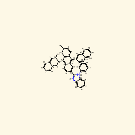 CC1C=Cc2c(c(C3C=c4ccccc4=CC3C)c3ccc(-c4nc5ccccc5n4-c4ccccc4)cc3c2-c2ccc3ccccc3c2)C1